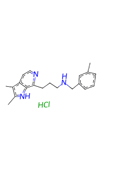 Cc1cccc(CNCCCc2nccc3c(C)c(C)[nH]c23)c1.Cl